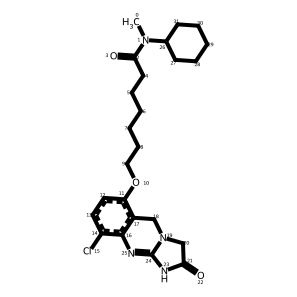 CN(C(=O)CCCCCCOc1ccc(Cl)c2c1CN1CC(=O)NC1=N2)C1CCCCC1